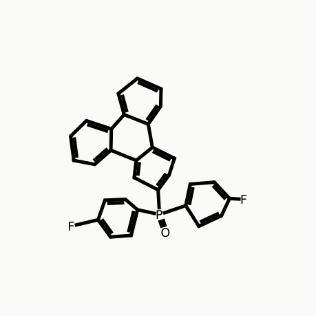 O=P(c1ccc(F)cc1)(c1ccc(F)cc1)c1ccc2c3ccccc3c3ccccc3c2c1